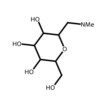 CNCC1OC(CO)C(O)C(O)C1O